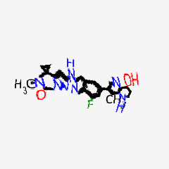 Cc1c(-c2cc(F)c3cnc(Nc4cc5n(n4)CC(=O)N(C)CC54CC4)cc3c2)cnc2c1NCCC2O